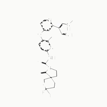 CN/C=C(\C=N)c1cc(Oc2ccc(NC(=O)N3CCC4(CCC(F)(F)CC4)C3=O)nc2C)ccn1